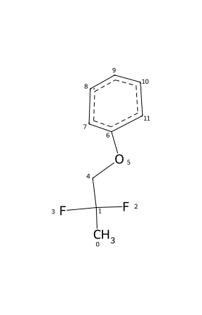 CC(F)(F)COc1c[c]ccc1